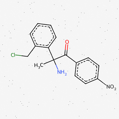 CC(N)(C(=O)c1ccc([N+](=O)[O-])cc1)c1ccccc1CCl